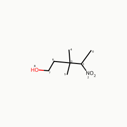 CC([N+](=O)[O-])C(C)(C)CCO